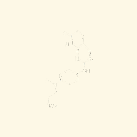 CCN(CCNC)c1ccc(Nc2ncc3ccc(=O)[nH]c3n2)cc1